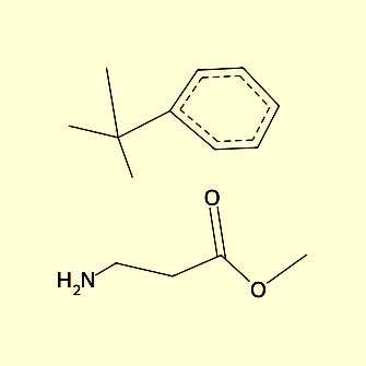 CC(C)(C)c1ccccc1.COC(=O)CCN